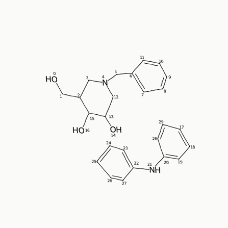 OCC1CN(Cc2ccccc2)CC(O)C1O.c1ccc(Nc2ccccc2)cc1